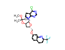 COC(C)(C)O[C@@H]1C[C@@H](COc2ccc3ccc(C(F)(F)F)nc3c2)O[C@H]1n1ccc2c(Cl)ncnc21